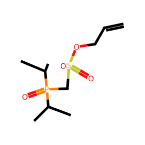 C=CCOS(=O)(=O)CP(=O)(C(C)C)C(C)C